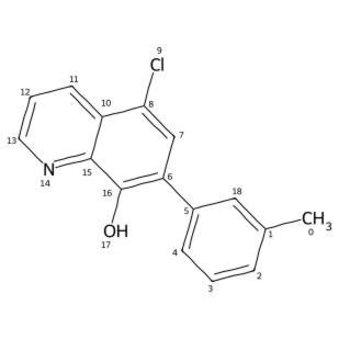 Cc1cccc(-c2cc(Cl)c3cccnc3c2O)c1